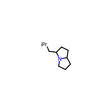 CC(C)CC1CCC2CCCN21